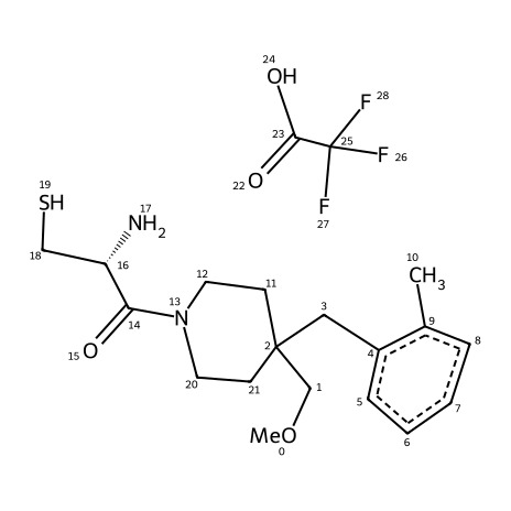 COCC1(Cc2ccccc2C)CCN(C(=O)[C@@H](N)CS)CC1.O=C(O)C(F)(F)F